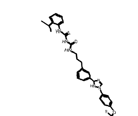 CC(C)c1ccccc1NC(=S)NC(=O)NCCCc1cccc(C2N=CN(c3ccc(OC(F)(F)F)cc3)N2)c1